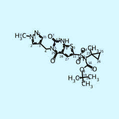 Cn1cc(Cn2c(=O)[nH]c3sc(S(=O)(=O)N(C(=O)OC(C)(C)C)C4(C)CC4)cc3c2=O)cn1